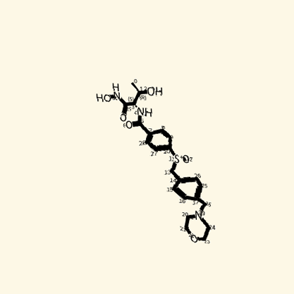 C[C@@H](O)[C@H](NC(=O)c1ccc([S+]([O-])Cc2ccc(CN3CCOCC3)cc2)cc1)C(=O)NO